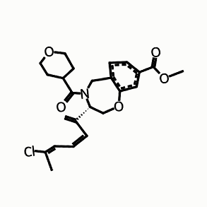 C=C(/C=C\C=C(/C)Cl)[C@H]1COc2cc(C(=O)OC)ccc2CN1C(=O)C1CCOCC1